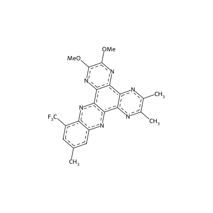 COc1nc2c3nc(C)c(C)nc3c3nc4cc(C)cc(C(F)(F)F)c4nc3c2nc1OC